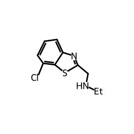 CCNCc1nc2cccc(Cl)c2s1